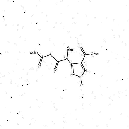 CCCCN(C(=O)CC(=O)OC)c1cn(C)nc1C(=O)OC